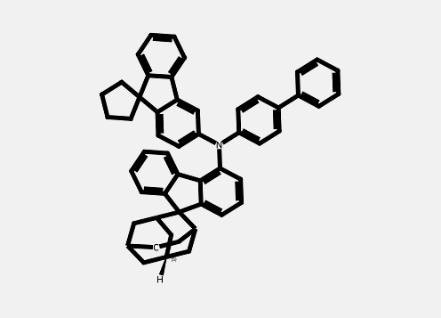 c1ccc(-c2ccc(N(c3ccc4c(c3)-c3ccccc3C43CCCC3)c3cccc4c3-c3ccccc3C43C4CCC5CC3C[C@@H](C5)C4)cc2)cc1